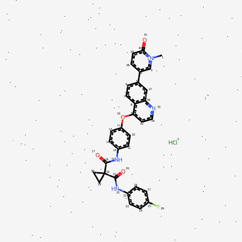 Cl.Cn1cc(-c2ccc3c(Oc4ccc(NC(=O)C5(C(=O)Nc6ccc(F)cc6)CC5)cc4)ccnc3c2)ccc1=O